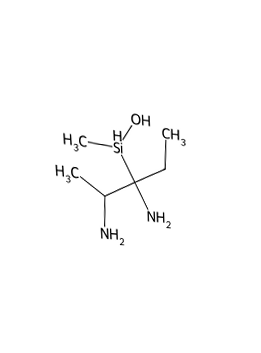 CCC(N)(C(C)N)[SiH](C)O